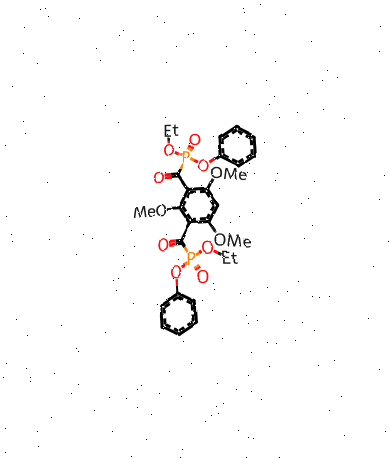 CCOP(=O)(Oc1ccccc1)C(=O)c1c(OC)cc(OC)c(C(=O)P(=O)(OCC)Oc2ccccc2)c1OC